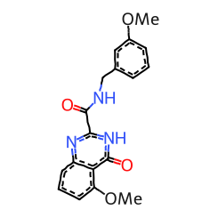 COc1cccc(CNC(=O)c2nc3cccc(OC)c3c(=O)[nH]2)c1